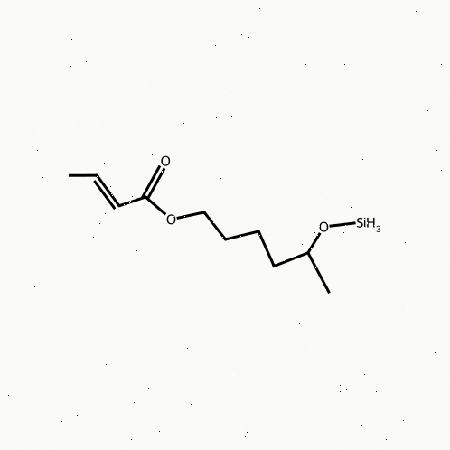 CC=CC(=O)OCCCCC(C)O[SiH3]